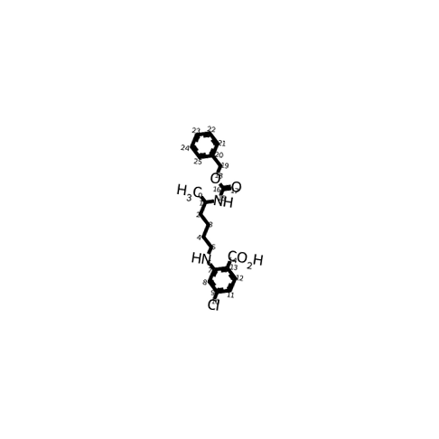 CC(CCCCNc1cc(Cl)ccc1C(=O)O)NC(=O)OCc1ccccc1